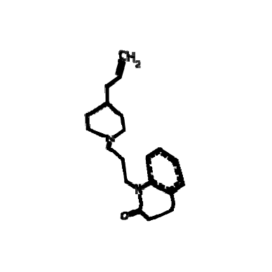 C=CCC1CCN(CCCN2C(=O)CCc3ccccc32)CC1